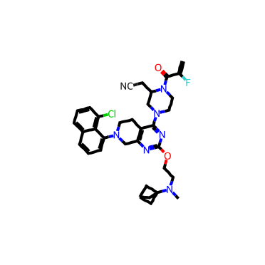 C=C(F)C(=O)N1CCN(c2nc(OCCN(C)C34CC(C3)C4)nc3c2CCN(c2cccc4cccc(Cl)c24)C3)CC1CC#N